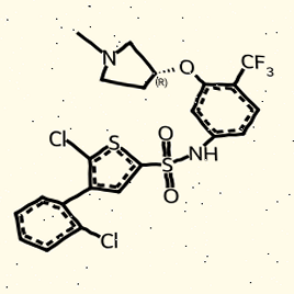 CN1CC[C@@H](Oc2cc(NS(=O)(=O)c3cc(-c4ccccc4Cl)c(Cl)s3)ccc2C(F)(F)F)C1